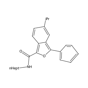 CCCCCCCNC(=O)c1oc(-c2ccccc2)c2cc(C(C)C)ccc12